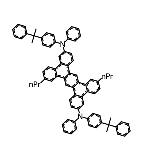 CCCc1ccc2c(c1)c1cc3c4ccc(N(c5ccccc5)c5ccc(C(C)(C)c6ccccc6)cc5)cc4c4ccc(CCC)cc4c3cc1c1ccc(N(c3ccccc3)c3ccc(C(C)(C)c4ccccc4)cc3)cc21